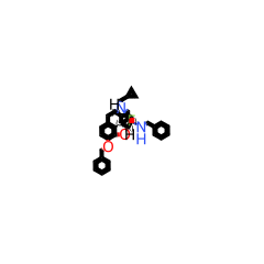 F[C@H]1CN(CC2CC2)[C@@H]2Cc3ccc(OCc4ccccc4)c4c3[C@]13[C]2CC[C@@H](NCc1ccccc1)[C@@H]3O4